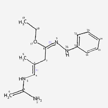 C=C(N)N/C=C(\C)C/C(=N\Nc1ccccc1)OCC